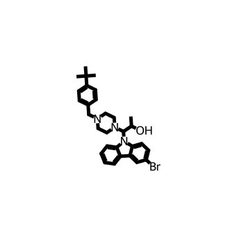 CC(O)C(N1CCN(Cc2ccc(C(C)(C)C)cc2)CC1)n1c2ccccc2c2cc(Br)ccc21